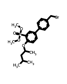 COP(=O)(OC)c1cc(-c2ccc(CBr)cc2)ccc1OC(C)CC(C)C